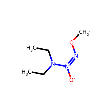 [CH2]O/N=[N+](/[O-])N(CC)CC